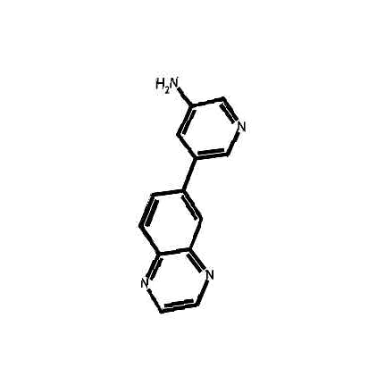 Nc1cncc(-c2ccc3nccnc3c2)c1